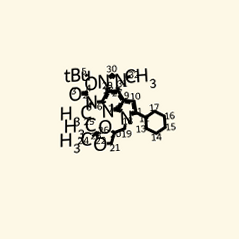 CN(C(=O)OC(C)(C)C)c1nc2c(cc(C3CCCCC3)n2CC2COC(C)(C)O2)c2c1ncn2C